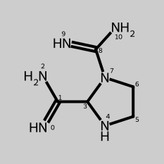 N=C(N)C1NCCN1C(=N)N